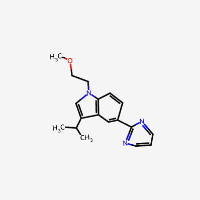 COCCn1cc(C(C)C)c2cc(-c3ncccn3)ccc21